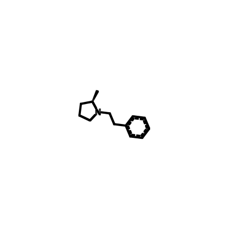 C[C@@H]1CCCN1CCc1ccccc1